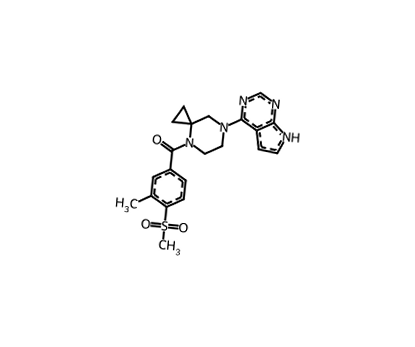 Cc1cc(C(=O)N2CCN(c3ncnc4[nH]ccc34)CC23CC3)ccc1S(C)(=O)=O